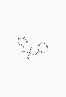 O=S(=O)(Cc1ccccc1)Nc1nnco1